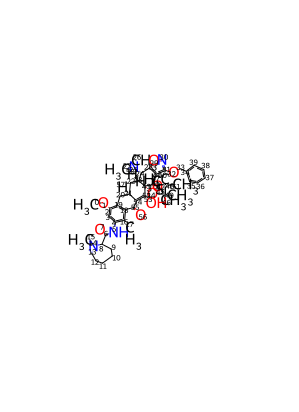 COc1cc(NC(=O)C2CCCCCN2C)c(C)c2c1C[C@H]1C[C@H]3[C@H](N(C)C)c4onc(OCc5ccccc5)c4C(=O)[C@@]3(O[Si](C)(C)C(C)(C)C)C(O)=C1C2=O